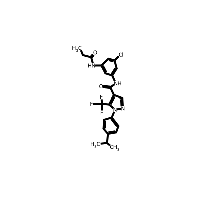 CCC(=O)Nc1cc(Cl)cc(NC(=O)c2cnn(-c3ccc(C(C)C)cc3)c2C(F)(F)F)c1